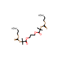 CCCCCCCCCCCCSC(=S)SC(C)(C)C(=O)OCCCOC(=O)C(C)(C)SC(=S)SCCCCCCCCCCCC